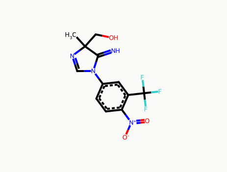 CC1(CO)N=CN(c2ccc([N+](=O)[O-])c(C(F)(F)F)c2)C1=N